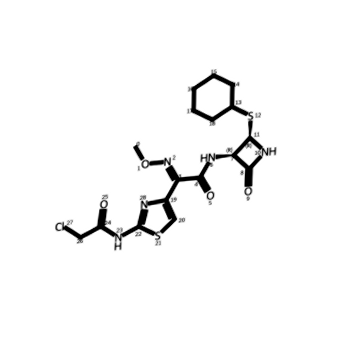 CON=C(C(=O)N[C@@H]1C(=O)N[C@@H]1SC1CCCCC1)c1csc(NC(=O)CCl)n1